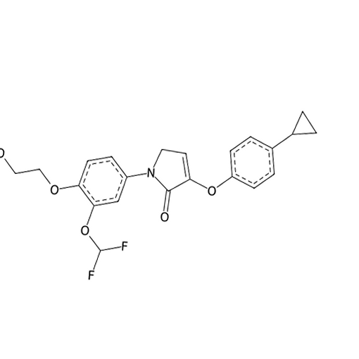 O=C1C(Oc2ccc(C3CC3)cc2)=CCN1c1ccc(OCCO)c(OC(F)F)c1